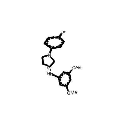 COc1cc(N[C@@H]2CCN(c3ccc(Br)cc3)C2)cc(OC)c1